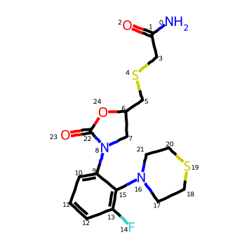 NC(=O)CSCC1CN(c2cccc(F)c2N2CCSCC2)C(=O)O1